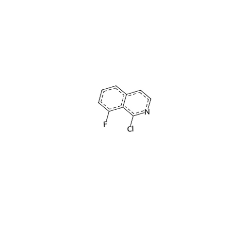 Fc1cccc2ccnc(Cl)c12